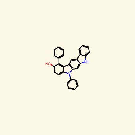 Oc1ccc2c(c1-c1ccccc1)c1cc3c(cc1n2-c1ccccc1)[nH]c1ccccc13